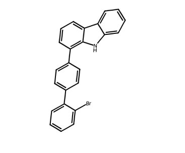 Brc1ccccc1-c1ccc(-c2cccc3c2[nH]c2ccccc23)cc1